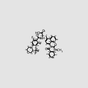 Cn1c(=O)n(-c2ccc(C[C@H](NC(=O)c3c(F)cc(N4CCOC[C@@H]4C(F)(F)F)cc3F)C(=O)O)c3cccnc23)c(=O)c2ccncc21